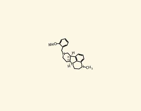 COc1ccccc1CN1CC[C@H]2[C@@H](C1)c1cccc3c1N2CCN3C